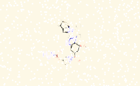 CCn1c(-c2nc3cc(C(=O)N4CCC(OC(N)=O)C4)cc(OC)c3n2C)cc2ccsc21